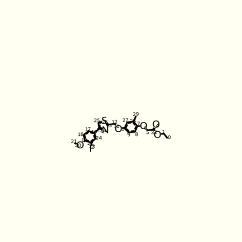 CCOC(=O)COc1ccc(OCc2nc(-c3ccc(OC)c(F)c3)cs2)cc1C